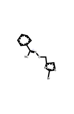 N#C/C(=N\OCc1csc(Br)n1)c1ccccc1